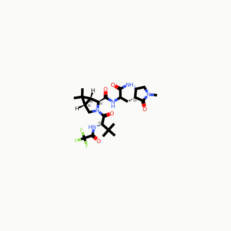 CN1CC[C@@H](CC(NC(=O)[C@@H]2[C@@H]3[C@H](CN2C(=O)[C@@H](NC(=O)C(F)(F)F)C(C)(C)C)C3(C)C)C(N)=O)C1=O